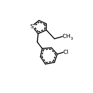 CCc1ccsc1Cc1cccc(Cl)c1